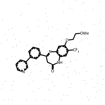 COCCOc1cc2c(cc1C(F)(F)F)NC(=O)CC(c1cccc(-c3cccnc3)c1)=N2